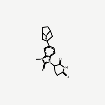 Cn1c(=O)n(C2CCC(=O)NC2=O)c2ccc(C3CC4CCC(C3)N4)cc21